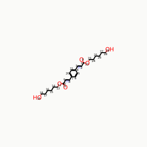 O=C(/C=C/c1ccc(/C=C/C(=O)OCCCCCCO)cc1)OCCCCCCO